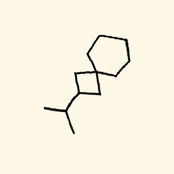 CC(C)C1CC2(CCCCC2)C1